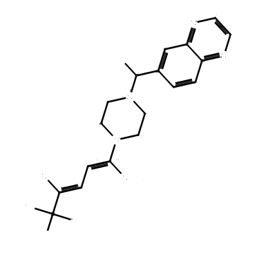 CC(c1ccc2nccnc2c1)N1CCN(/C(N)=C/C=C(\N)C(F)(F)F)CC1